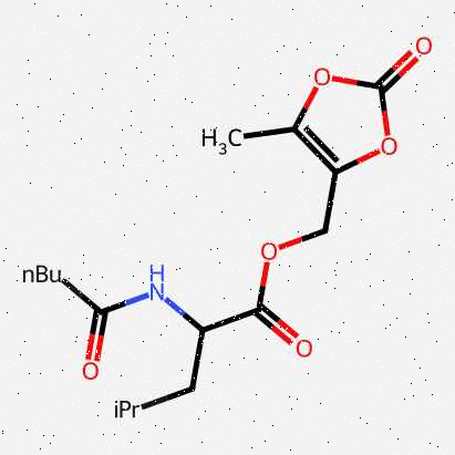 CCCCC(=O)NC(CC(C)C)C(=O)OCc1oc(=O)oc1C